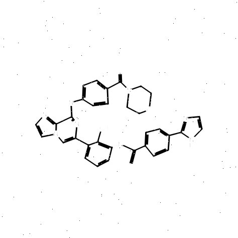 Cc1c(NC(=O)c2ccc(-c3ncc[nH]3)cc2)cccc1-c1cn2ccnc2c(Nc2ccc(C(=O)N3CCOCC3)cc2)n1